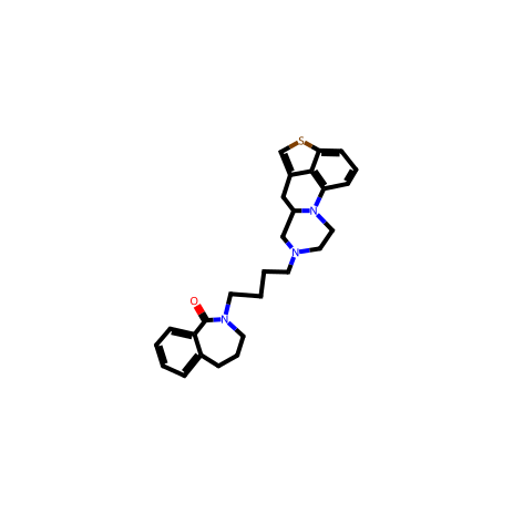 O=C1c2ccccc2CCCN1CCCCN1CCN2c3cccc4scc(c34)CC2C1